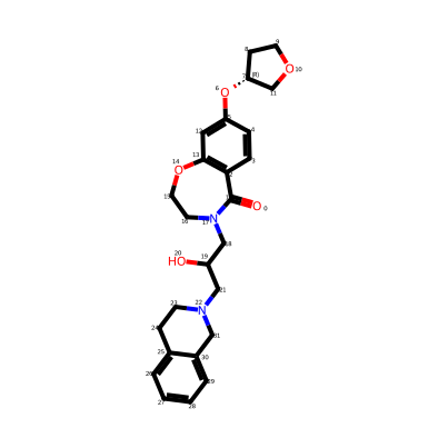 O=C1c2ccc(O[C@@H]3CCOC3)cc2OCCN1CC(O)CN1CCc2ccccc2C1